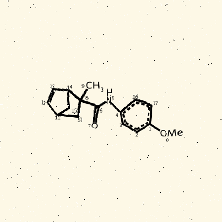 COc1ccc(NC(=O)C2(C)CC3C=CC2C3)cc1